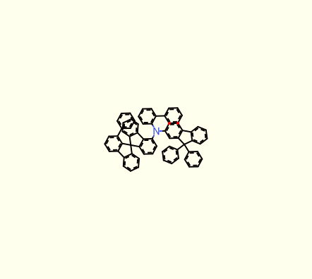 c1ccc(-c2ccccc2N(c2ccc3c(c2)C(c2ccccc2)(c2ccccc2)c2ccccc2-3)c2cccc3c2-c2ccccc2C32c3ccccc3-c3cccc(-c4ccccc4)c32)cc1